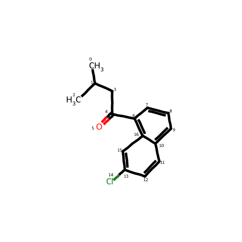 CC(C)CC(=O)c1cccc2ccc(Cl)cc12